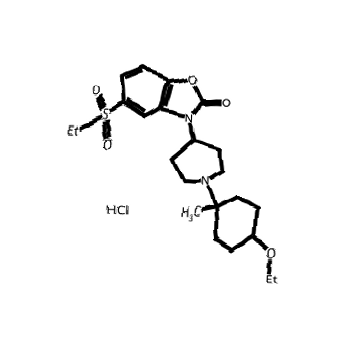 CCOC1CCC(C)(N2CCC(n3c(=O)oc4ccc(S(=O)(=O)CC)cc43)CC2)CC1.Cl